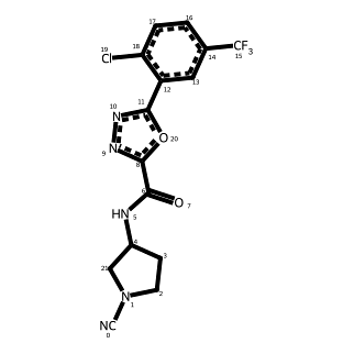 N#CN1CCC(NC(=O)c2nnc(-c3cc(C(F)(F)F)ccc3Cl)o2)C1